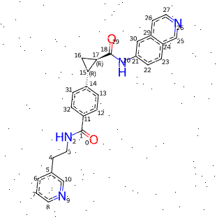 O=C(NCCc1cccnc1)c1ccc([C@@H]2C[C@H]2C(=O)Nc2ccc3cnccc3c2)cc1